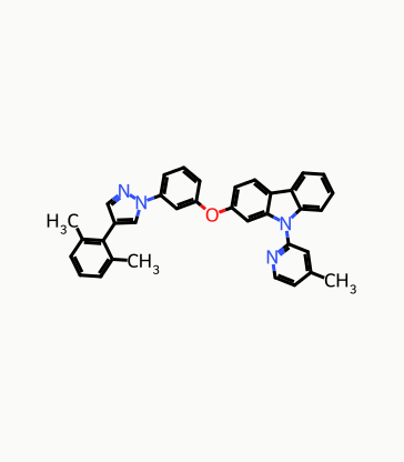 Cc1ccnc(-n2c3ccccc3c3ccc(Oc4cccc(-n5cc(-c6c(C)cccc6C)cn5)c4)cc32)c1